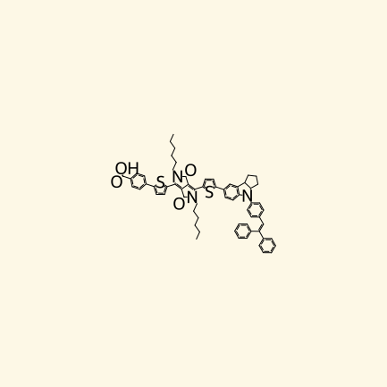 CCCCCCN1C(=O)C2=C(c3ccc(-c4ccc5c(c4)C4CCCC4N5c4ccc(C=C(c5ccccc5)c5ccccc5)cc4)s3)N(CCCCCC)C(=O)C2=C1c1ccc(-c2ccc(C(=O)O)cc2)s1